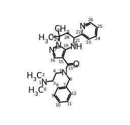 CN(C)CCN(Cc1ccccc1)C(=O)c1cnn2c1NC(c1ccccn1)CC2(C)C